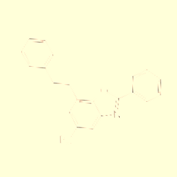 CC(C)(C)c1cc(CCc2ccccc2)c2oc(-c3ccccc3)nc2c1